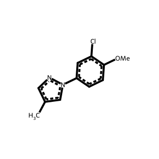 COc1ccc(-n2cc(C)cn2)cc1Cl